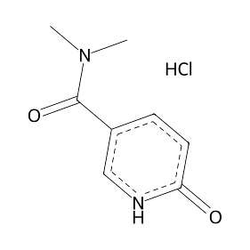 CN(C)C(=O)c1ccc(=O)[nH]c1.Cl